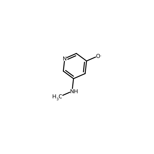 CNc1cncc([O])c1